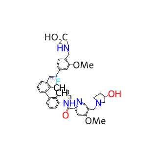 COc1cc(/C(F)=C/c2cccc(-c3cccc(NC(=O)c4cc(OC)c(CN5CCC(O)C5)cn4)c3C)c2C)ccc1CNCC(=O)O